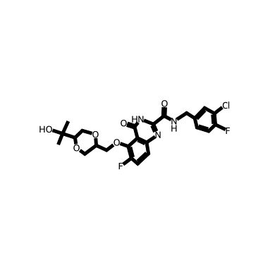 CC(C)(O)C1COC(COc2c(F)ccc3nc(C(=O)NCc4ccc(F)c(Cl)c4)[nH]c(=O)c23)CO1